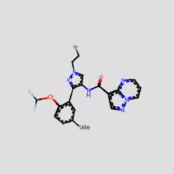 CSc1ccc(OC(F)F)c(-c2nn(CCBr)cc2NC(=O)c2cnn3cccnc23)c1